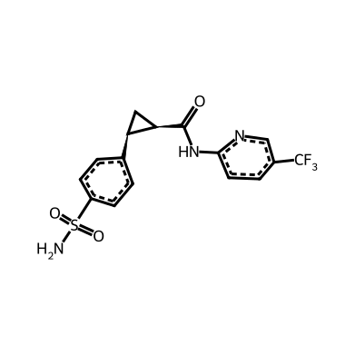 NS(=O)(=O)c1ccc([C@H]2C[C@H]2C(=O)Nc2ccc(C(F)(F)F)cn2)cc1